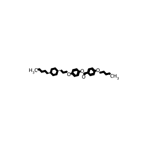 CCCCCOc1ccc(C(=O)Oc2ccc(OCCC[C@H]3CC[C@H](CCCCC)CC3)cc2)cc1